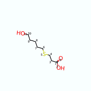 O=C(O)CCSCCCCCO